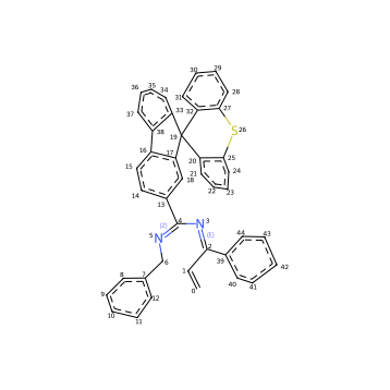 C=C/C(=N\C(=N/Cc1ccccc1)c1ccc2c(c1)C1(c3ccccc3Sc3ccccc31)c1ccccc1-2)c1ccccc1